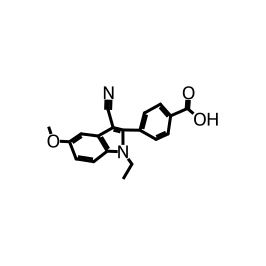 CCn1c(-c2ccc(C(=O)O)cc2)c(C#N)c2cc(OC)ccc21